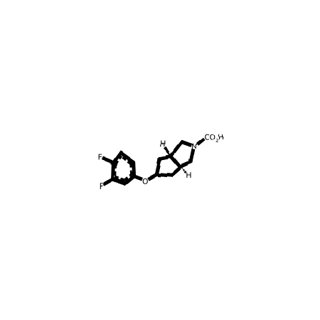 O=C(O)N1C[C@H]2CC(Oc3ccc(F)c(F)c3)C[C@@H]2C1